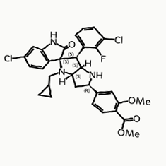 COC(=O)c1ccc([C@H]2C[C@H]3[C@@H](N2)[C@H](c2cccc(Cl)c2F)[C@]2(C(=O)Nc4cc(Cl)ccc42)N3CC2CC2)cc1OC